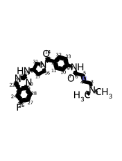 CN(C)C/C=C/C(=O)Nc1ccc(C(=O)N2CCC(Nc3ncc4cc(F)ccc4n3)C2)cc1